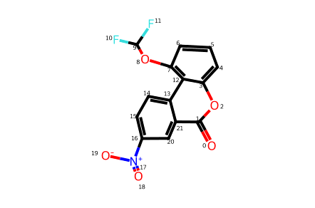 O=c1oc2cccc(OC(F)F)c2c2ccc([N+](=O)[O-])cc12